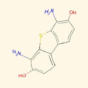 Nc1c(O)ccc2c1sc1c(N)c(O)ccc12